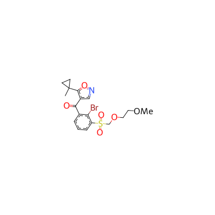 COCCOCS(=O)(=O)c1cccc(C(=O)c2cnoc2C2(C)CC2)c1Br